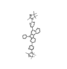 CC1=NC(C)(C)C(C)(C)N1c1ccc(-c2ccc3c4c5ccccc5c(-c5ccc(N6C(C)=NC(C)(C)C6(C)C)nc5)cc4n(-c4ccccc4)c3c2)cn1